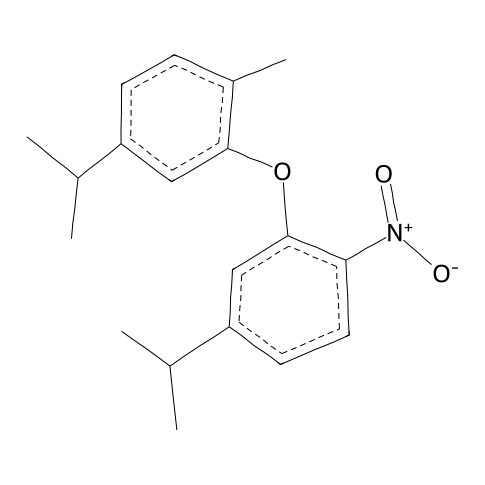 Cc1ccc(C(C)C)cc1Oc1cc(C(C)C)ccc1[N+](=O)[O-]